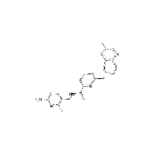 Cc1cnc2ccc(Cc3nccc(C(=O)NCc4ccc(N)nc4C)n3)cc2c1